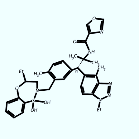 CCC1CN(Cc2cc([C@@H](c3ccc4c(nnn4CC)c3C)C(C)(C)NC(=O)c3cocn3)ccc2C)S(O)(O)c2ccccc2O1